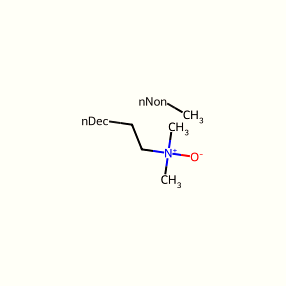 CCCCCCCCCC.CCCCCCCCCCCC[N+](C)(C)[O-]